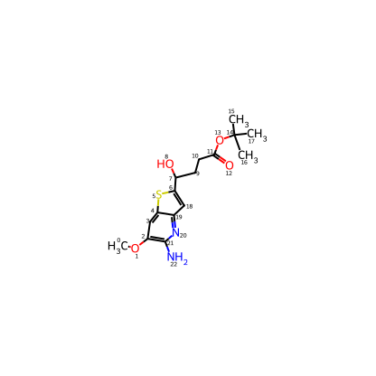 COc1cc2sc(C(O)CCC(=O)OC(C)(C)C)cc2nc1N